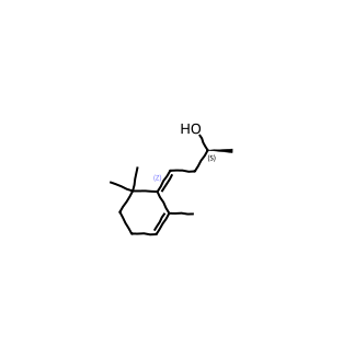 CC1=CCCC(C)(C)/C1=C/C[C@H](C)O